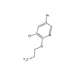 CC(=O)c1cnc(OCCC(F)(F)F)c(Cl)c1